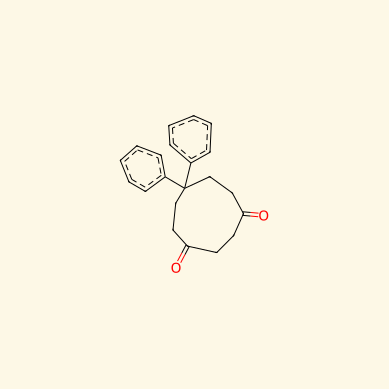 O=C1CCC(=O)CCC(c2ccccc2)(c2ccccc2)CC1